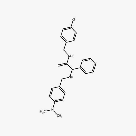 CN(C)c1ccc(CNC(C(=O)NCc2ccc(Cl)cc2)c2ccccc2)cc1